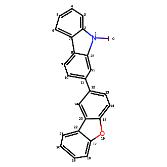 In1c2ccccc2c2ccc(-c3ccc4oc5ccccc5c4c3)cc21